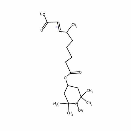 CC(/C=C/C(=O)O)CCCCC(=O)OC1CC(C)(C)N(O)C(C)(C)C1